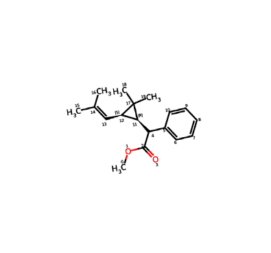 COC(=O)C(c1ccccc1)[C@H]1[C@@H](C=C(C)C)C1(C)C